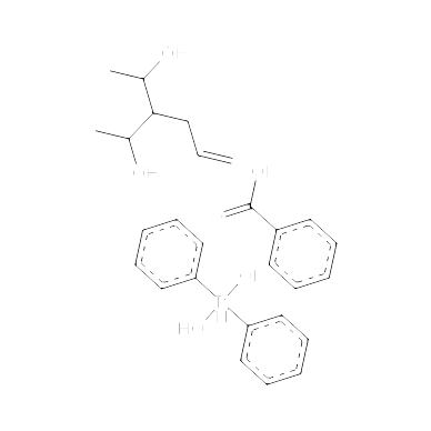 C=CCC(C(C)O)C(C)O.O=C(O)c1ccccc1.O[PH](O)(c1ccccc1)c1ccccc1